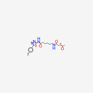 CC(=O)SCC(=O)NCCCCCC(=O)Nc1nnc(-c2ccc(I)cc2)s1